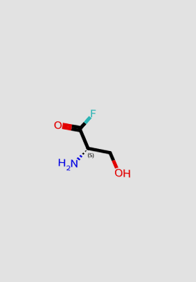 N[C@@H](CO)C(=O)F